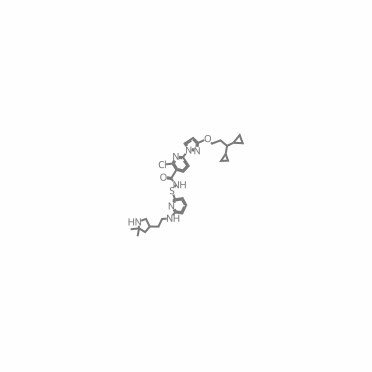 CC1(C)CC(CCNc2cccc(SNC(=O)c3ccc(-n4ccc(OCCC(C5CC5)C5CC5)n4)nc3Cl)n2)CN1